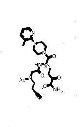 C#CCCN(CC(=O)N[C@@H](CCC(=O)C(N)=O)C(=O)N1CCN(c2ncccc2C)CC1)C(C)=O